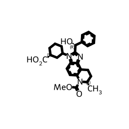 COC(=O)N1c2ccc3c(nc([C@H](O)c4ccccc4)n3C3CCC[C@H](C(=O)O)C3)c2CC[C@H]1C